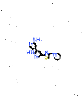 Nc1cc2c(cn1)[nH]c1ncc(-c3nc(CN4CCCCC4)cs3)cc12